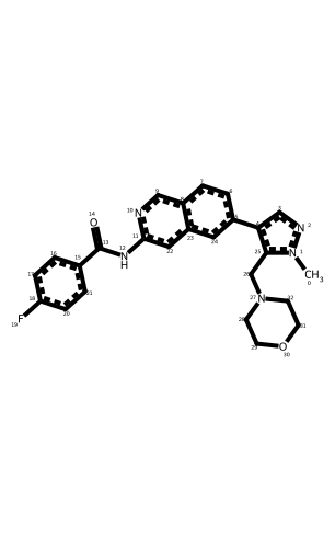 Cn1ncc(-c2ccc3cnc(NC(=O)c4ccc(F)cc4)cc3c2)c1CN1CCOCC1